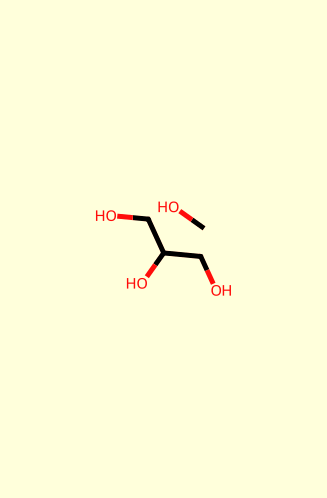 CO.OCC(O)CO